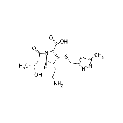 C[C@@H](O)[C@H]1C(=O)N2C(C(=O)O)=C(SCc3cn(C)nn3)[C@H](CCN)[C@H]12